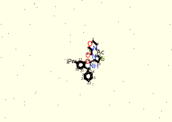 CC(=O)N1CCOCC1C(=O)N1C[C@H](F)C[C@H]1C(=O)N[C@@H](c1ccccc1)c1ccc(C(C)C)cc1